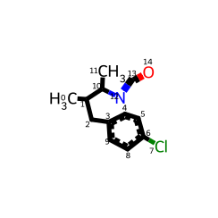 CC(Cc1ccc(Cl)cc1)C(C)N=C=O